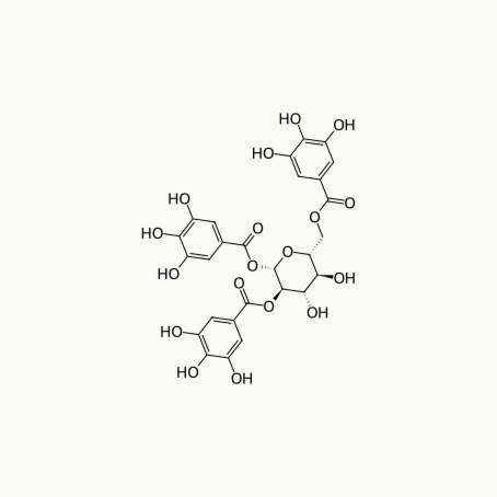 O=C(OC[C@H]1O[C@@H](OC(=O)c2cc(O)c(O)c(O)c2)[C@H](OC(=O)c2cc(O)c(O)c(O)c2)[C@@H](O)[C@@H]1O)c1cc(O)c(O)c(O)c1